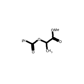 COC(=O)C(C)OC(=O)C(C)C